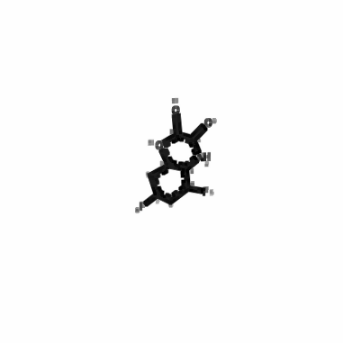 O=c1[nH]c2c(F)cc(F)cc2oc1=O